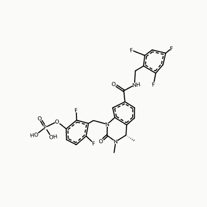 C[C@H]1c2ccc(C(=O)NCc3c(F)cc(F)cc3F)cc2N(Cc2c(F)ccc(OP(=O)(O)O)c2F)C(=O)N1C